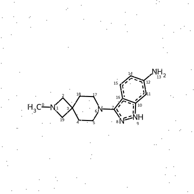 CN1CC2(CCN(c3n[nH]c4cc(N)ccc34)CC2)C1